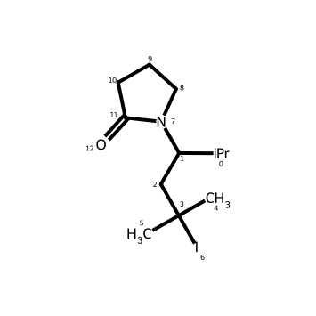 CC(C)C(CC(C)(C)I)N1CCCC1=O